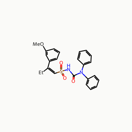 CC/C(=C/S(=O)(=O)NC(=O)N(c1ccccc1)c1ccccc1)c1cccc(OC)c1